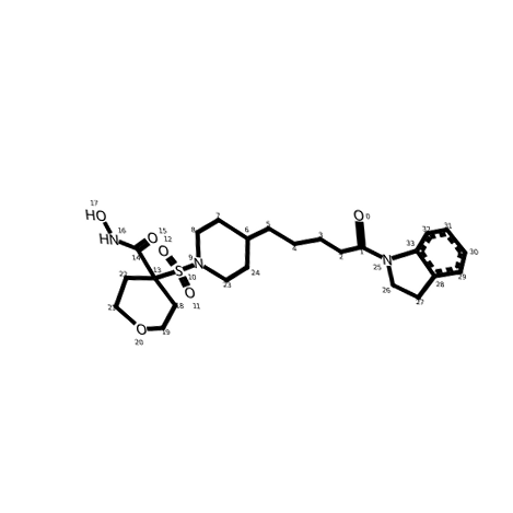 O=C(CCCCC1CCN(S(=O)(=O)C2(C(=O)NO)CCOCC2)CC1)N1CCc2ccccc21